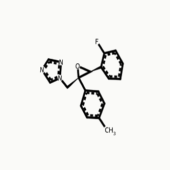 Cc1ccc([C@]2(Cn3cncn3)O[C@H]2c2ccccc2F)cc1